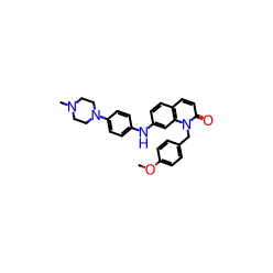 COc1ccc(Cn2c(=O)ccc3ccc(Nc4ccc(N5CCN(C)CC5)cc4)cc32)cc1